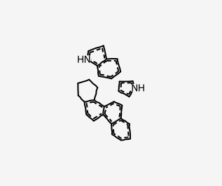 c1cc[nH]c1.c1ccc2[nH]ccc2c1.c1ccc2c(c1)ccc1c3c(ccc12)CCCC3